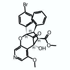 COC(=O)[C@@H]1[C@H](c2ccccc2)[C@]2(c3ccc(Br)cc3)Oc3cncc(OC)c3[C@@]1(O)C2=O